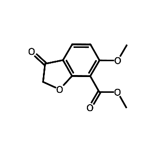 COC(=O)c1c(OC)ccc2c1OCC2=O